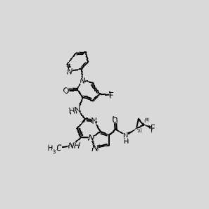 CNc1cc(Nc2cc(F)cn(-c3ccccn3)c2=O)nc2c(C(=O)N[C@H]3C[C@H]3F)cnn12